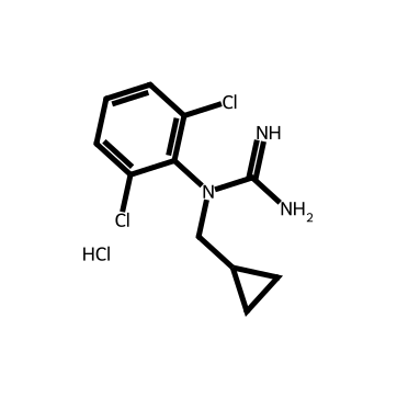 Cl.N=C(N)N(CC1CC1)c1c(Cl)cccc1Cl